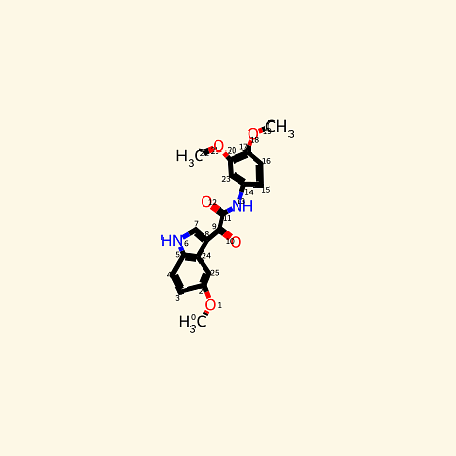 COc1ccc2[nH]cc(C(=O)C(=O)Nc3ccc(OC)c(OC)c3)c2c1